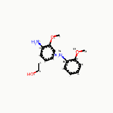 CCO.COc1ccccc1N.COc1ccccc1N